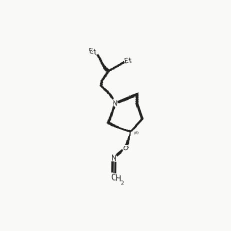 C=NO[C@@H]1CCN(CC(CC)CC)C1